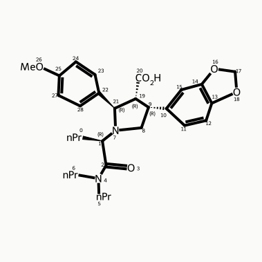 CCC[C@H](C(=O)N(CCC)CCC)N1C[C@@H](c2ccc3c(c2)OCO3)[C@@H](C(=O)O)[C@@H]1c1ccc(OC)cc1